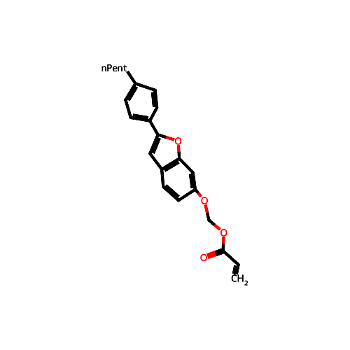 C=CC(=O)OCOc1ccc2cc(-c3ccc(CCCCC)cc3)oc2c1